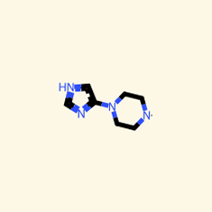 c1nc(N2CC[N]CC2)c[nH]1